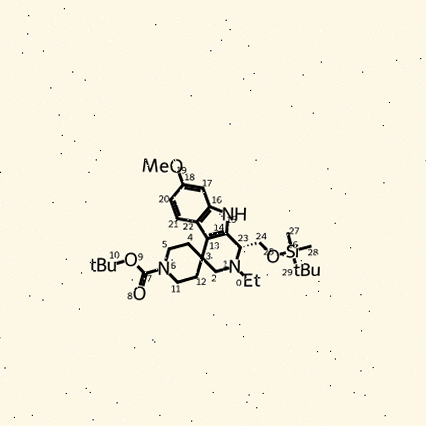 CCN1CC2(CCN(C(=O)OC(C)(C)C)CC2)c2c([nH]c3cc(OC)ccc23)[C@@H]1CO[Si](C)(C)C(C)(C)C